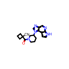 N#CC1(C(=O)N2CCCC(n3cnc4cnc5[nH]ccc5c43)C2)CCC1